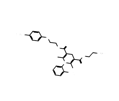 COCCOC(=O)C1=C(C)N(c2ccccc2[N+](=O)[O-])C(C)=C(C(=O)OCCOc2ccc(NC(C)=O)cc2)C1